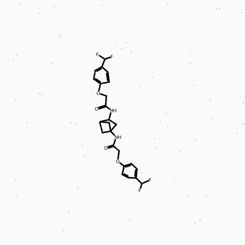 O=C(COc1ccc(C(F)F)cc1)NC1CC2(NC(=O)COc3ccc(C(F)F)cc3)CC1C2